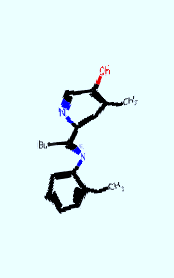 CCC(C)/C(=N\c1ccccc1C)c1cc(C)c(O)cn1